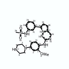 COc1cc(N2CCNCC2)ccc1Nc1ncc2ccc(-c3cccc(NS(C)(=O)=O)c3)n2n1